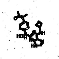 CC(=O)N(C)c1ccc(Nc2nc(NC3CCC3)c3nc[nH]c3n2)cc1.Cl